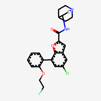 O=C(NC1CN2CCC1CC2)c1cc2cc(Cl)cc(-c3ccccc3OCCF)c2o1